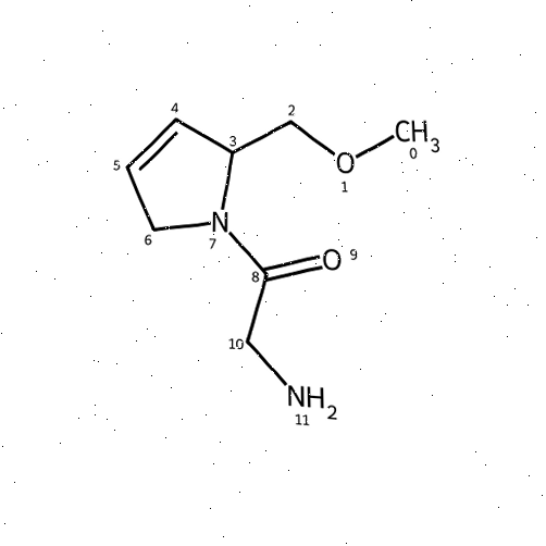 COCC1C=CCN1C(=O)CN